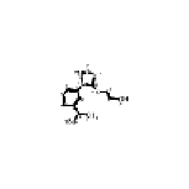 CCCCC(C)c1cccc(-n2nnnc2SCCO)c1